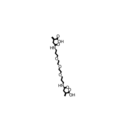 C=C(CC(=O)NCCCOCCOCCOCCCNC(=O)CC(=C)C(=O)O)C(=O)O